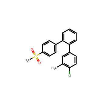 Cc1cc(-c2ccccc2-c2ccc(S(C)(=O)=O)cc2)ccc1Cl